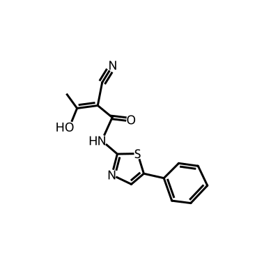 CC(O)=C(C#N)C(=O)Nc1ncc(-c2ccccc2)s1